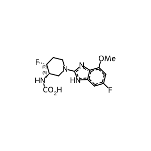 COc1cc(F)cc2[nH]c(N3CC[C@@H](F)[C@H](NC(=O)O)C3)nc12